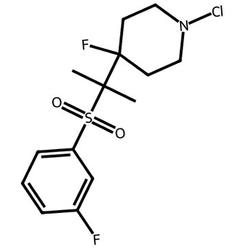 CC(C)(C1(F)CCN(Cl)CC1)S(=O)(=O)c1cccc(F)c1